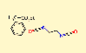 CCOC(C)=O.O=C=NCCN=C=O.c1ccccc1